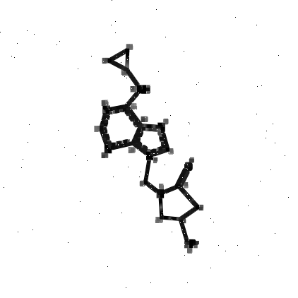 CCCC1CC(=O)N(Cn2cnc3c(NC4CC4)ncnc32)C1